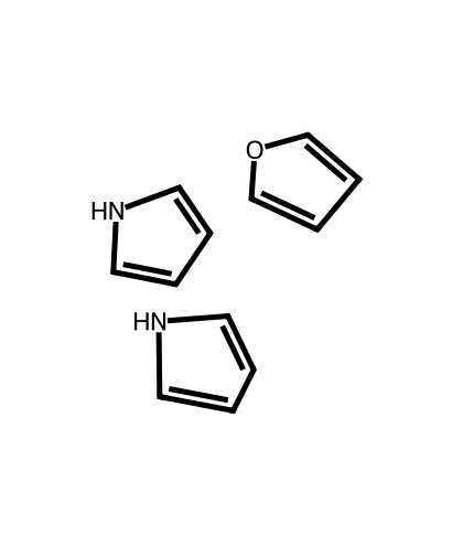 c1cc[nH]c1.c1cc[nH]c1.c1ccoc1